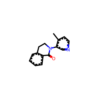 Cc1ccncc1N1CCc2ccccc2C1=O